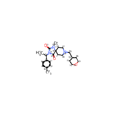 CCN1C(=O)N(C(C)c2ccc(C(F)(F)F)cc2)C(=O)C12CCN(CC1CCOCC1)CC2